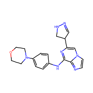 C1=NNCC1c1cn2ccnc2c(Nc2ccc(N3CCOCC3)cc2)n1